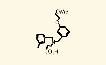 COCCOc1cccc(CN(CCC(=O)O)Cc2cccc(C)c2)c1